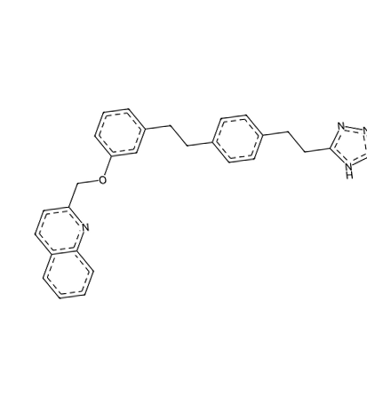 c1cc(CCc2ccc(CCc3nnn[nH]3)cc2)cc(OCc2ccc3ccccc3n2)c1